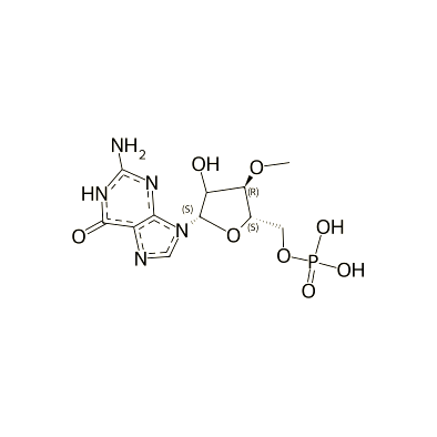 CO[C@@H]1C(O)[C@@H](n2cnc3c(=O)[nH]c(N)nc32)O[C@H]1COP(=O)(O)O